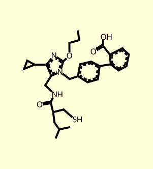 CCCOc1nc(C2CC2)c(CNC(=O)C(CS)CC(C)C)n1Cc1ccc(-c2ccccc2C(=O)O)cc1